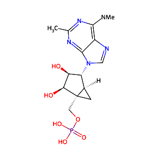 CNc1nc(C)nc2c1ncn2[C@H]1[C@H](O)[C@H](O)[C@]2(COP(=O)(O)O)C[C@H]12